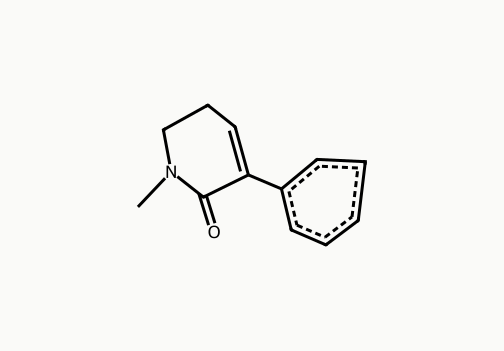 CN1CCC=C(c2ccccc2)C1=O